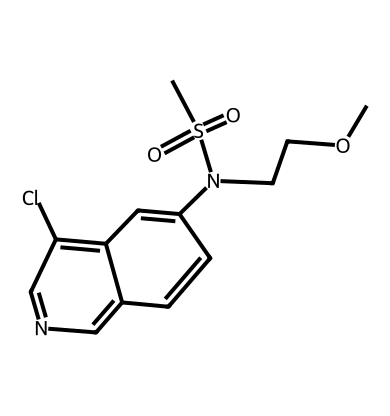 COCCN(c1ccc2cncc(Cl)c2c1)S(C)(=O)=O